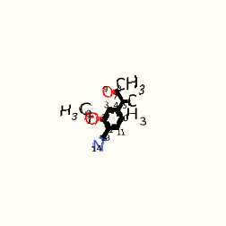 COc1cc(C(C)C(C)=O)ccc1C#N